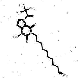 C=CCCCCCCCCCn1c(=O)c2c(ncn2C(=O)C(C)(C)C)n(C)c1=O